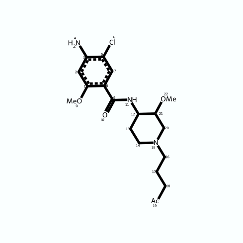 COc1cc(N)c(Cl)cc1C(=O)NC1CCN(CCCC(C)=O)CC1OC